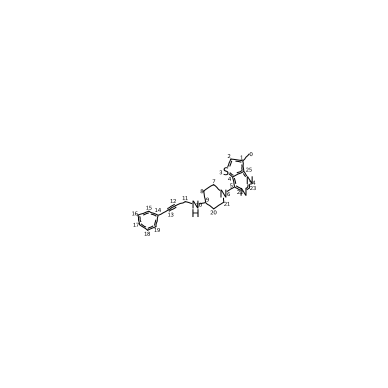 Cc1csc2c(N3CCC(NCC#Cc4ccccc4)CC3)ncnc12